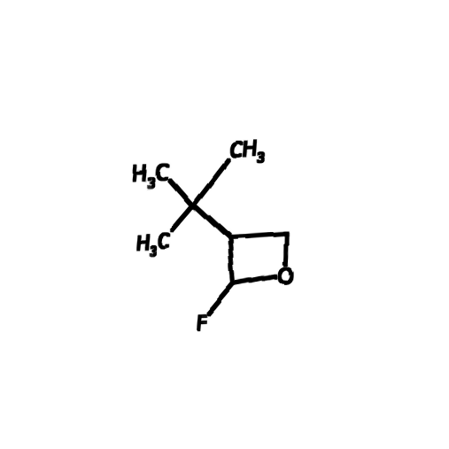 CC(C)(C)C1COC1F